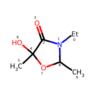 CCN1C(=O)C(C)(O)OC1C